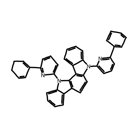 C1=CC(c2cccc(-n3c4ccccc4c4ccc5c(c6ccccc6n5-c5cccc(-c6ccccc6)n5)c43)n2)=CCC1